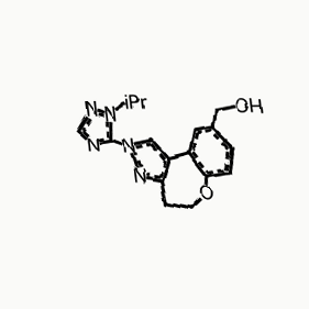 CC(C)n1ncnc1-n1cc2c(n1)CCOc1ccc(CO)cc1-2